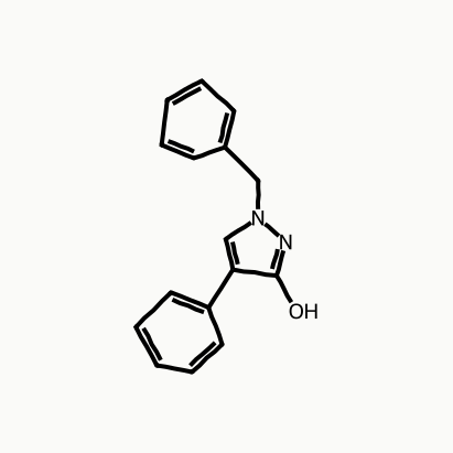 Oc1nn(Cc2ccccc2)cc1-c1ccccc1